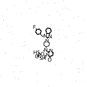 CC(OP(=O)(S)S)n1c(N(C)C2CCN(c3nc4ccccc4n3Cc3ccc(F)cc3)CC2)nccc1=O